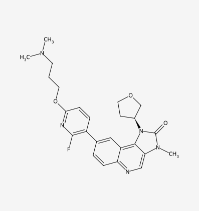 CN(C)CCCOc1ccc(-c2ccc3ncc4c(c3c2)n([C@H]2CCOC2)c(=O)n4C)c(F)n1